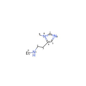 CCNCCc1cncn1C